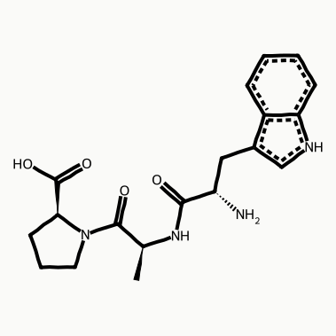 C[C@H](NC(=O)[C@@H](N)Cc1c[nH]c2ccccc12)C(=O)N1CCC[C@H]1C(=O)O